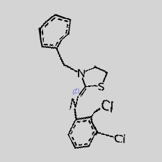 Clc1cccc(/N=C2\SCCN2Cc2ccccc2)c1Cl